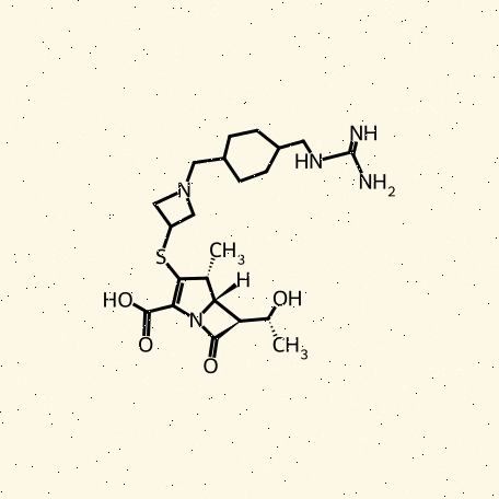 C[C@@H](O)[C@H]1C(=O)N2C(C(=O)O)=C(SC3CN(CC4CCC(CNC(=N)N)CC4)C3)[C@H](C)[C@H]12